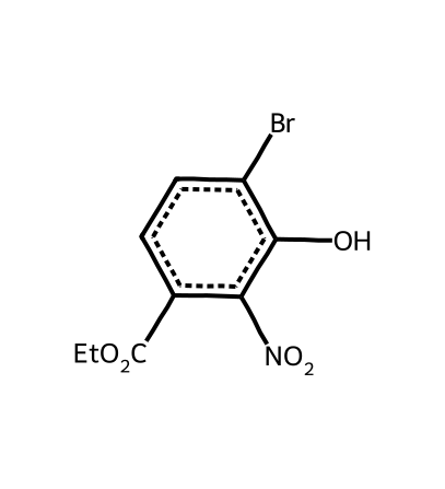 CCOC(=O)c1ccc(Br)c(O)c1[N+](=O)[O-]